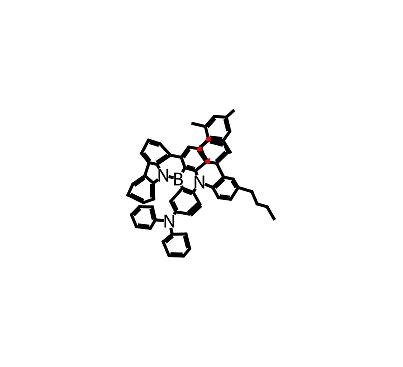 CCCCc1ccc(N2c3c#cc(N(c4ccccc4)c4ccccc4)cc3B3c4c(cc(-c5c(C)cc(C)cc5C)cc42)-c2cccc4c5ccccc5n3c24)c(C2=CC=CCC2)c1